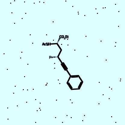 CCOC(=O)[C@H](C[C@@H](F)C#Cc1ccccc1)NC(C)=O